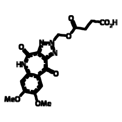 COc1cc2[nH]c(=O)c3nn(COC(=O)CCC(=O)O)nc3c(=O)c2cc1OC